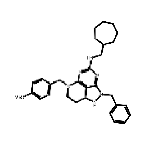 COc1ccc(CN2CCC3NN(Cc4ccccc4)c4nc(NCC5CCCCCC5)nc2c43)cc1